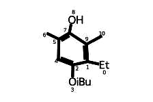 CCc1c(OCC(C)C)cc(C)c(O)c1C